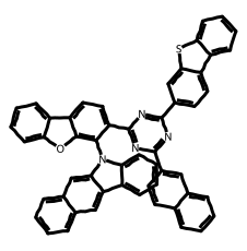 c1ccc2cc(-c3nc(-c4ccc5c(c4)sc4ccccc45)nc(-c4ccc5c(oc6ccccc65)c4-n4c5ccccc5c5cc6ccccc6cc54)n3)ccc2c1